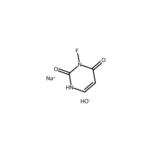 O=c1cc[nH]c(=O)n1F.[Na+].[OH-]